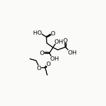 CCOC(C)=O.O=C(O)CC(O)(CC(=O)O)C(=O)O